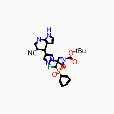 CC(C)(C)OC(=O)N1CC(C(F)S(=O)(=O)c2ccccc2)(n2cc(C3c4cc[nH]c4N=CC3C#N)cn2)C1